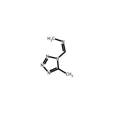 C/N=C\n1nnnc1C